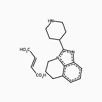 O=C(O)/C=C/C(=O)O.c1cc2c3c(c1)nc(C1CCNCC1)n3CCC2